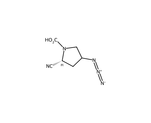 N#C[C@H]1CC(N=[N+]=[N-])CN1C(=O)O